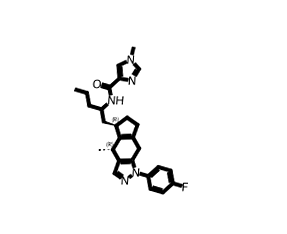 CCCC(C[C@H]1CCC2=C1[C@@H](C)c1cnn(-c3ccc(F)cc3)c1C2)NC(=O)c1cn(C)cn1